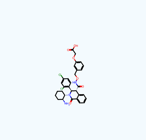 N[C@H]1CCCC[C@@H]1N1C(=O)c2ccccc2[C@@H](C(=O)NOCc2cccc(OCC(=O)O)c2)[C@@H]1c1ccc(Cl)cc1Cl